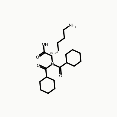 NCCCC[C@@H](C(=O)O)N(C(=O)C1CCCCC1)C(=O)C1CCCCC1